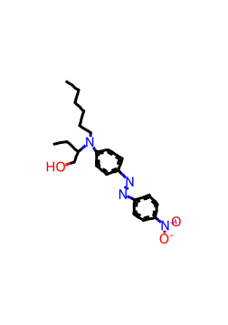 CCCCCCN(c1ccc(/N=N/c2ccc([N+](=O)[O-])cc2)cc1)C(CC)CO